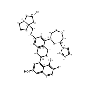 CCc1c(F)ccc2cc(O)cc(N3CCc4c(nc(OC[C@@]56CCCN5C[C@H](F)C6)nc4N4CCOCC(n5ccnn5)C4)C3)c12